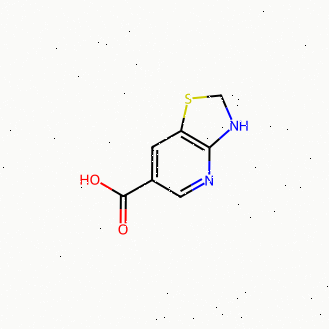 O=C(O)c1cnc2c(c1)SCN2